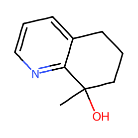 CC1(O)CCCc2cccnc21